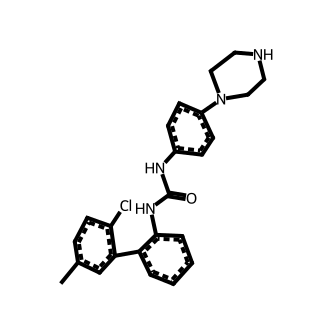 Cc1ccc(Cl)c(-c2ccccc2NC(=O)Nc2ccc(N3CCNCC3)cc2)c1